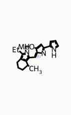 CCc1[nH]c(/C=C2/N=C(c3ccc[nH]3)C=C2OC)c2c1CCCC2C